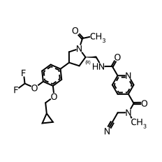 CC(=O)N1CC(c2ccc(OC(F)F)c(OCC3CC3)c2)C[C@@H]1CNC(=O)c1ccc(C(=O)N(C)CC#N)cn1